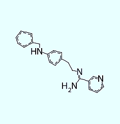 N/C(=N\CCc1ccc(NCc2ccccc2)cc1)c1cccnc1